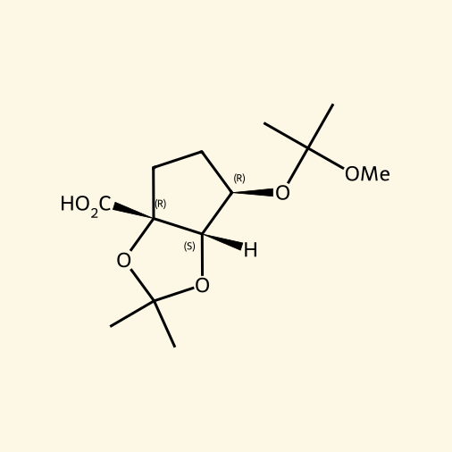 COC(C)(C)O[C@@H]1CC[C@@]2(C(=O)O)OC(C)(C)O[C@@H]12